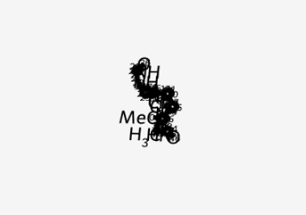 COc1nc(-c2cccc(-c3cccc(-c4cn5cc(CNC[C@@H]6CCC(=O)N6)ccc5n4)c3Cl)c2Cl)ccc1CN(C)[C@H]1CCC(=O)N1